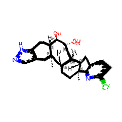 C[C@]12Cc3cn[nH]c3C[C@@H]1[C@@H](O)[C@H](O)[C@@H]1[C@@H]2CC[C@]2(C)c3nc(Cl)ccc3C[C@@H]12